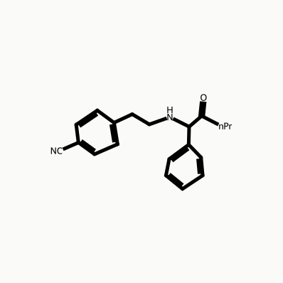 CCCC(=O)C(NCCc1ccc(C#N)cc1)c1ccccc1